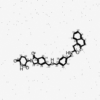 O=C(Cc1c(F)ccc2ccccc12)NCc1ccc(CNCc2ccc3c(c2)CN(C2CCC(=O)NC2=O)C3=O)cc1